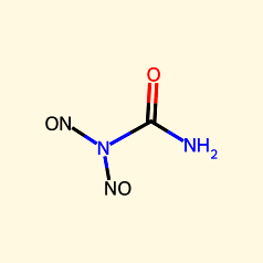 NC(=O)N(N=O)N=O